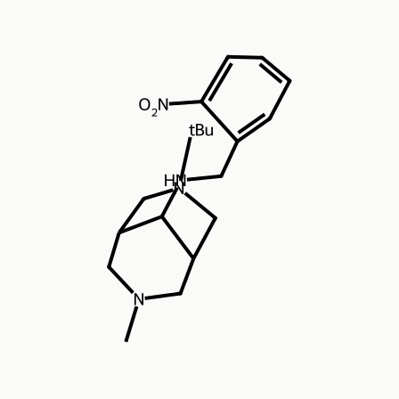 CN1CC2CN(C(C)(C)C)CC(C1)C2NCc1ccccc1[N+](=O)[O-]